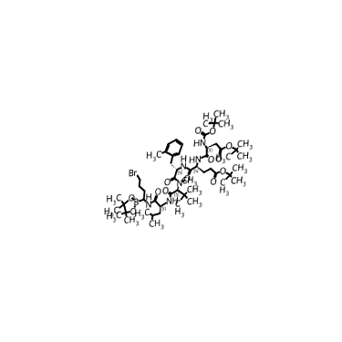 Cc1ccccc1C[C@H](NC(=O)[C@H](CCC(=O)OC(C)(C)C)NC(=O)[C@H](CC(=O)OC(C)(C)C)NC(=O)OC(C)(C)C)C(=O)N(C)[C@H](C(=O)N[C@@H](CC(C)C)C(=O)NC(CCCBr)B1OC(C)(C)C(C)(C)O1)C(C)(C)C